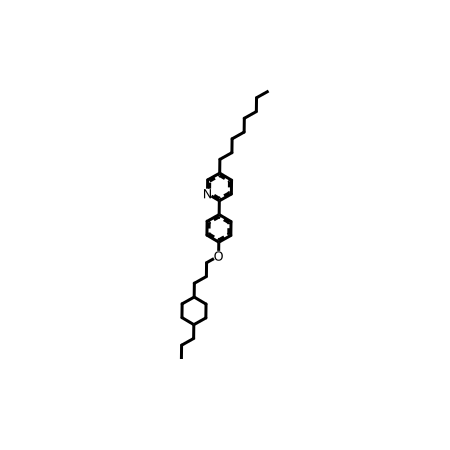 CCCCCCCCc1ccc(-c2ccc(OCCCC3CCC(CCC)CC3)cc2)nc1